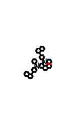 c1ccc(N(c2ccc(-c3cccc4ccccc34)cc2)c2cc(N(c3ccccc3)c3ccc(-c4cccc5ccccc45)cc3)c3c(ccc4ccccc43)c2)cc1